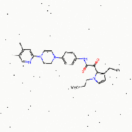 COCCn1ccc(CC(C)C)c1C(=O)C(=O)Nc1ccc(N2CCN(c3cc(C)c(C)cn3)CC2)cc1